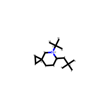 CC(C)(C)CC1CCC2(CC2)CN1C(C)(C)C